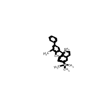 Cc1cc(-c2ccccc2)cc(-c2c3ccc([Si](C)(C)C)cc3cc[n+]2C)c1C